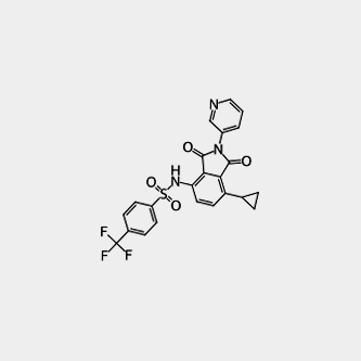 O=C1c2c(NS(=O)(=O)c3ccc(C(F)(F)F)cc3)ccc(C3CC3)c2C(=O)N1c1cccnc1